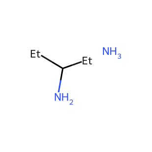 CCC(N)CC.N